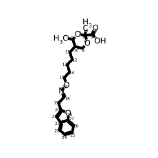 CC1OC(C)(C(=O)O)OCC1CCCCCON=CCc1cc2ccccc2o1